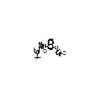 Cn1nc(C(C)(C)C)cc1NC(=O)Nc1ccc(Oc2ccnc(Cl)n2)c2ccccc12